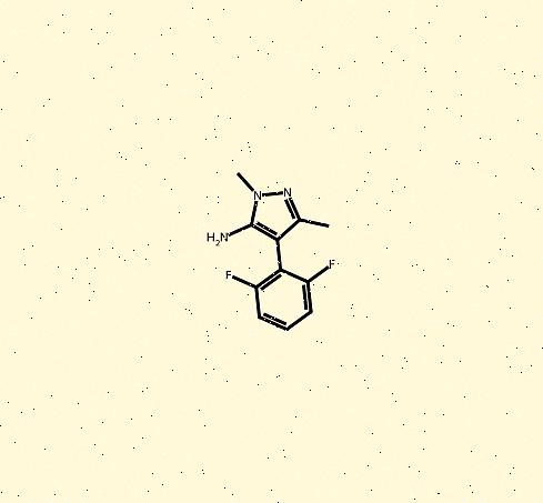 Cc1nn(C)c(N)c1-c1c(F)cccc1F